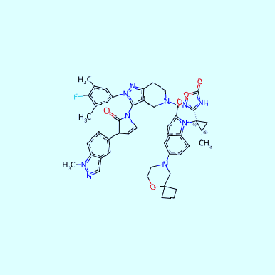 Cc1cc(-n2nc3c(c2N2C=CC(c4ccc5c(cnn5C)c4)C2=O)CN(C(=O)c2cc4cc(N5CCOC6(CCC6)C5)ccc4n2[C@@]2(c4noc(=O)[nH]4)C[C@@H]2C)CC3)cc(C)c1F